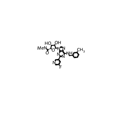 CNC(=O)[C@@H]1OC(n2cnc3c(NCc4cccc(C)c4)nc(-c4cncc(F)c4)nc32)C(O)C1O